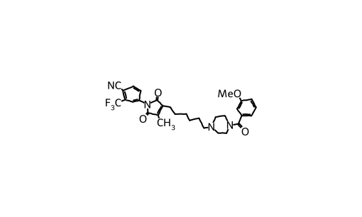 COc1cccc(C(=O)N2CCN(CCCCCCC3=C(C)C(=O)N(c4ccc(C#N)c(C(F)(F)F)c4)C3=O)CC2)c1